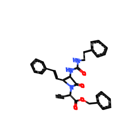 CCCCC(C(=O)OCc1ccccc1)N1C(=O)C(NC(=O)NCCc2ccccc2)C1C=Cc1ccccc1